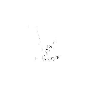 CCCCCCCCCCCCCCCCCCN(C)C(=O)/C(=C/c1ccc([N+](=O)[O-])cc1)COc1ccc(NC(=O)OCCCC)cc1